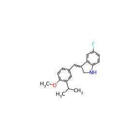 COc1ccc(C=C2CNc3ccc(F)cc32)cc1C(C)C